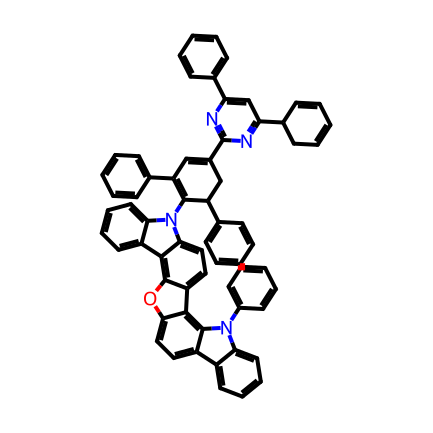 C1=CCC(c2cc(-c3ccccc3)nc(C3=CC(c4ccccc4)=C(n4c5ccccc5c5c6oc7ccc8c9ccccc9n(-c9ccccc9)c8c7c6ccc54)C(c4ccccc4)C3)n2)C=C1